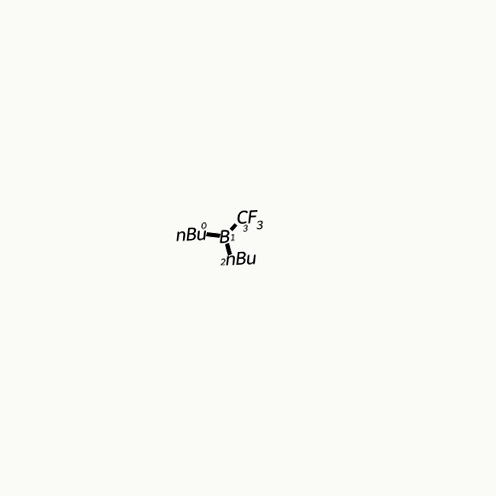 CCCCB(CCCC)C(F)(F)F